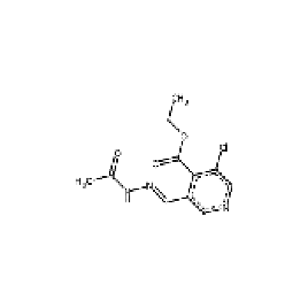 CCOC(=O)c1c(Cl)cncc1C=NNC(C)=O